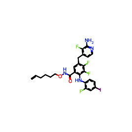 C=CCCCCONC(=O)c1cc(Cc2ccnc(N)c2F)c(F)c(F)c1Nc1ccc(I)cc1F